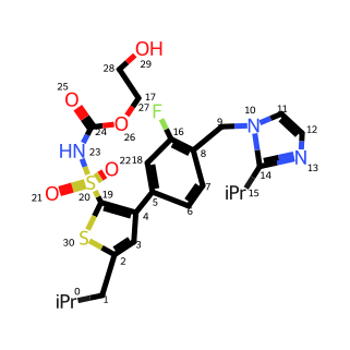 CC(C)Cc1cc(-c2ccc(Cn3ccnc3C(C)C)c(F)c2)c(S(=O)(=O)NC(=O)OCCO)s1